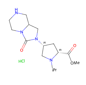 COC(=O)[C@H]1C[C@@H](N2CC3CNCCN3C2=O)CN1C(C)C.Cl